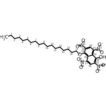 CCCCCCCCCCCCCCCCCCOc1c([N+](=O)[O-])cc([N+](=O)[O-])c2c(O)c([N+](=O)[O-])cc([N+](=O)[O-])c12